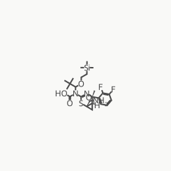 CC(C)(C)C(OCC[Si](C)(C)C)N(C(=O)O)C1=N[C@](C)(c2cccc(F)c2F)[C@@H]2C[C@]2(C(N)=O)S1